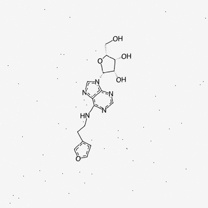 OC[C@H]1O[C@@H](n2cnc3c(NCCc4ccoc4)ncnc32)[C@@H](O)[C@H]1O